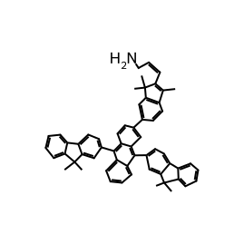 CC1=C(/C=C\CN)C(C)(C)c2cc(-c3ccc4c(-c5ccc6c(c5)C(C)(C)c5ccccc5-6)c5ccccc5c(-c5ccc6c(c5)C(C)(C)c5ccccc5-6)c4c3)ccc21